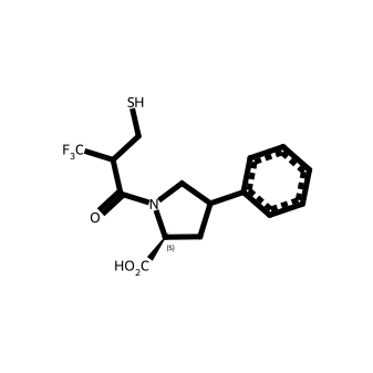 O=C(O)[C@@H]1CC(c2ccccc2)CN1C(=O)C(CS)C(F)(F)F